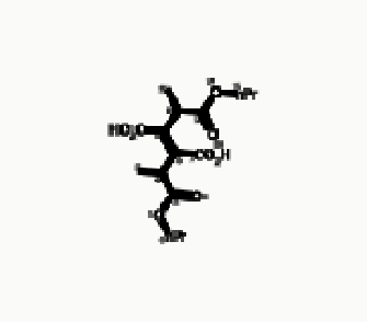 CCCOC(=O)C(C)/C(C(=O)O)=C(\C(=O)O)C(C)C(=O)OCCC